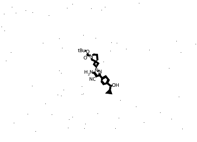 CC(C)(C)OC(=O)N1CCC[C@]2(C1)C[C@H](n1nc(-c3ccc(C(O)C4CC4)cc3)c(C#N)c1N)C2